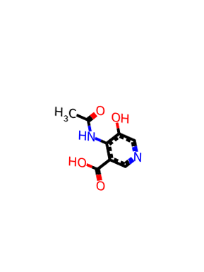 CC(=O)Nc1c(O)cncc1C(=O)O